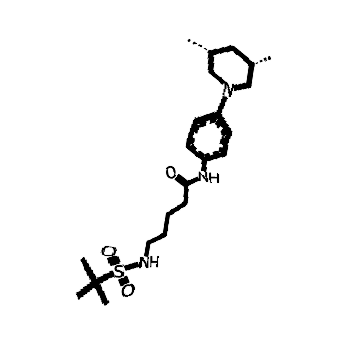 C[C@@H]1C[C@H](C)CN(c2ccc(NC(=O)CCCCNS(=O)(=O)C(C)(C)C)cc2)C1